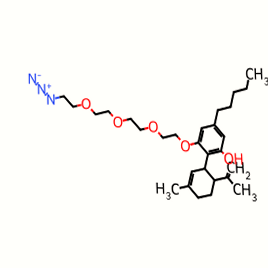 C=C(C)C1CCC(C)=CC1c1c(O)cc(CCCCC)cc1OCCOCCOCCOCCN=[N+]=[N-]